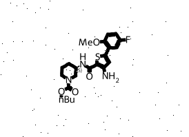 CCCCOC(=O)N1CCC[C@H](NC(=O)c2sc(-c3cc(F)ccc3OC)cc2N)C1